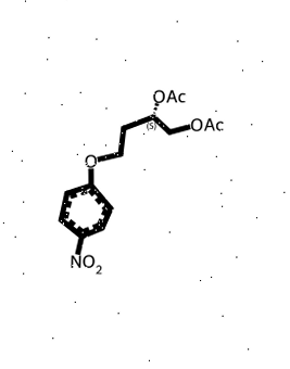 CC(=O)OC[C@H](CCOc1ccc([N+](=O)[O-])cc1)OC(C)=O